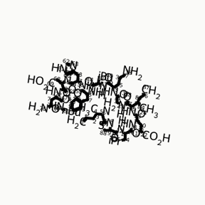 C=CCC(C)C(N)C1=NC(C(=O)NC(CC(C)C)C(=O)NC(CCC(=O)O)C(=O)NC(C(=O)NCC(=O)NC(CCCN)C(=O)NC(C(=O)NC(Cc2ccccc2)C(=O)NC(Cc2c[nH]cn2)C(=O)NC(CC(=O)O)C(=O)NC(CC(N)=O)C(=O)NCCCC)C(C)CC)C(C)CC=C)CS1